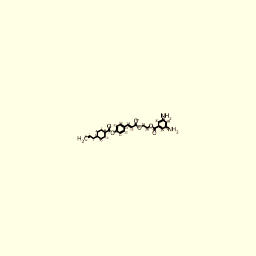 C=CCC1CCC(C(=O)Oc2ccc(C=CC(=O)OCCOC(=O)c3cc(N)cc(N)c3)cc2)CC1